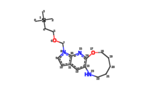 C[Si](C)(C)CCOCn1ccc2cc3c(nc21)OCCCCCN3